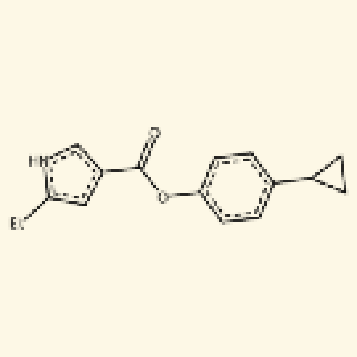 CCc1cc(C(=O)Oc2ccc(C3CC3)cc2)c[nH]1